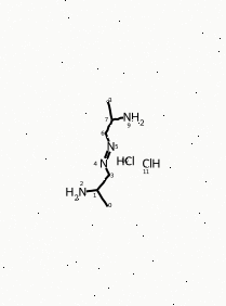 CC(N)CN=NCC(C)N.Cl.Cl